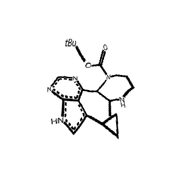 CC1NCCN(C(=O)OC(C)(C)C)C1c1ncnc2[nH]cc(C3CC3)c12